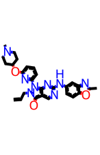 C=CCn1c(=O)c2cnc(Nc3ccc4oc(C)nc4c3)nc2n1-c1cccc(OC2CCN(C)CC2)n1